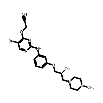 C#CCOc1nc(Nc2cccc(OC[C@@H](O)CN3CCN(C)CC3)c2)ncc1Br